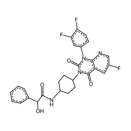 O=C(NC1CCC(n2c(=O)c3cc(F)cnc3n(-c3ccc(F)c(F)c3)c2=O)CC1)C(O)c1ccccc1